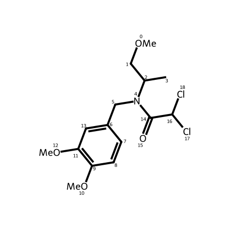 COCC(C)N(Cc1ccc(OC)c(OC)c1)C(=O)C(Cl)Cl